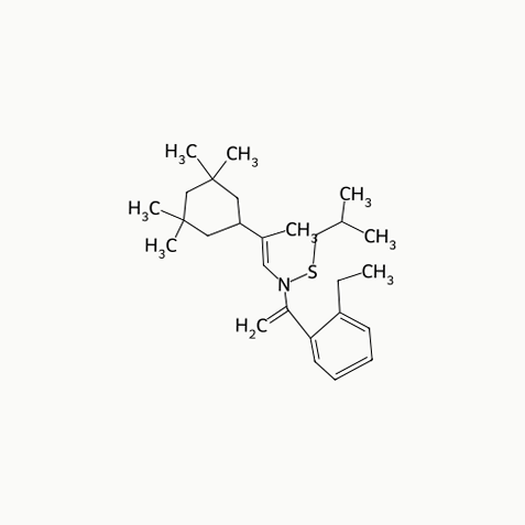 C=C(c1ccccc1CC)N(/C=C(\C)C1CC(C)(C)CC(C)(C)C1)SCC(C)C